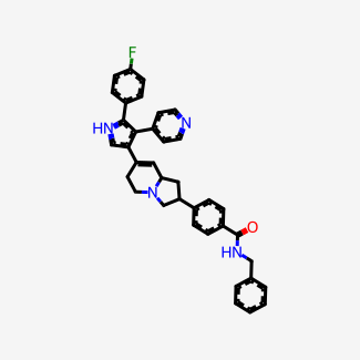 O=C(NCc1ccccc1)c1ccc(C2CC3C=C(c4c[nH]c(-c5ccc(F)cc5)c4-c4ccncc4)CCN3C2)cc1